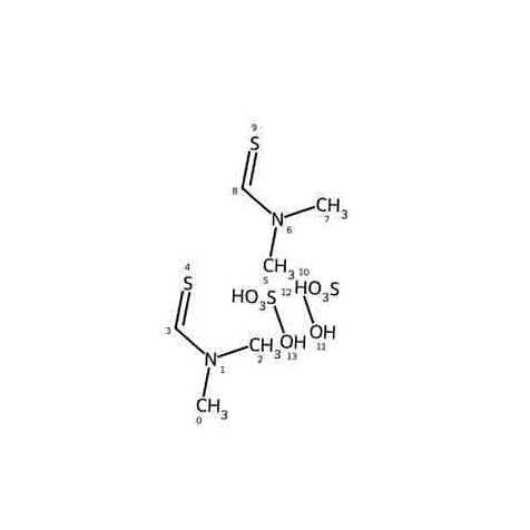 CN(C)C=S.CN(C)C=S.O=S(=O)(O)O.O=S(=O)(O)O